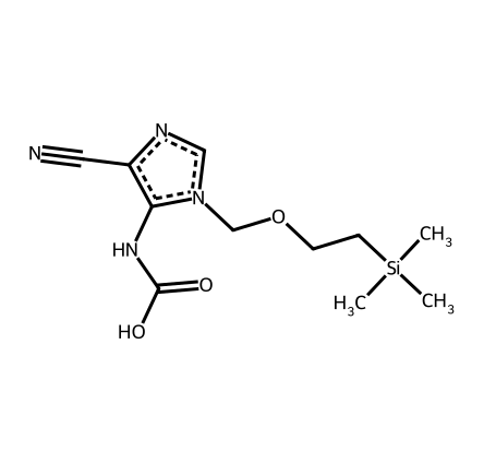 C[Si](C)(C)CCOCn1cnc(C#N)c1NC(=O)O